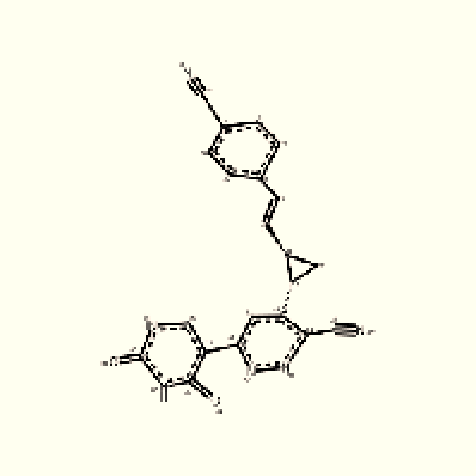 N#Cc1ccc(/C=C/[C@H]2C[C@@H]2c2cc(-c3c[nH]c(=O)[nH]c3=O)nnc2C#N)cc1